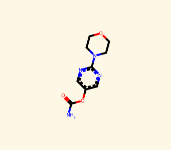 NC(=O)Oc1cnc(N2CCOCC2)nc1